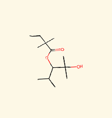 CCC(C)(C)C(=O)OC(C(C)C)C(C)(C)O